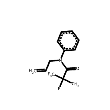 C=CCN(C(=O)C(C)(F)C(F)(F)F)c1ccccc1